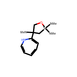 CNC1(C2=CC=CC=CN2)CO[Si](NC)(NC)C1